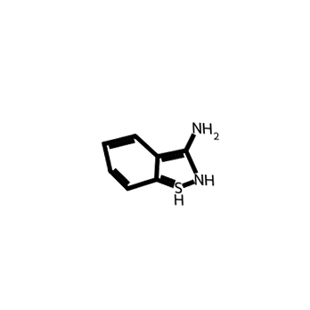 NC1=c2ccccc2=[SH]N1